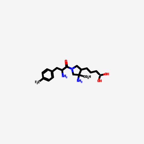 NC(Cc1ccc(C(F)(F)F)cc1)C(=O)N1CC(CCCB(O)O)C(N)(C(=O)O)C1